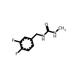 CNC(=O)NCc1ccc(F)c(F)c1